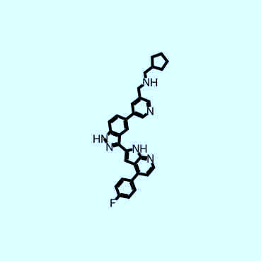 Fc1ccc(-c2ccnc3[nH]c(-c4n[nH]c5ccc(-c6cncc(CNCC7CCCC7)c6)cc45)cc23)cc1